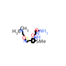 CSc1ccc(-c2cnc(OCCCN(C)C)s2)cc1NC(=O)c1coc(N)n1